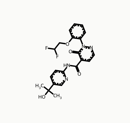 CC(C)(O)c1ccc(NC(=O)c2ccnn(-c3ccccc3OCC(F)F)c2=O)nc1